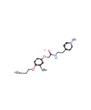 CCCCCCCCCCCCOc1ccc(OCC(=O)NCCc2cc[n+](CCC)cc2)cc1C(C)(C)C.[I-]